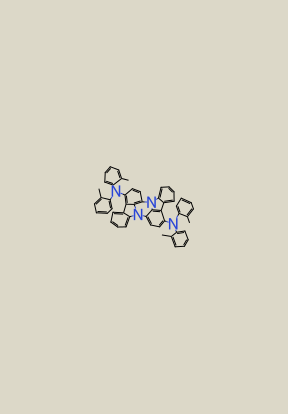 Cc1ccccc1N(c1ccccc1C)c1ccc2c3c1c1ccccc1n3c1ccc(N(c3ccccc3C)c3ccccc3C)c3c4ccccc4n2c31